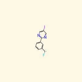 F[CH]c1cccc(-c2ncc(I)cn2)c1